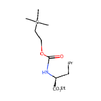 CCOC(=O)[C@H](CC(C)C)NC(=O)OCC[Si](C)(C)C